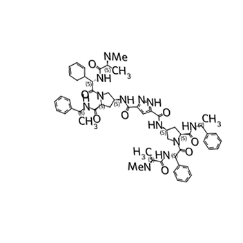 CN[C@@H](C)C(=O)N[C@H](C(=O)N1C[C@@H](NC(=O)c2cc(C(=O)N[C@H]3C[C@@H](C(=O)N[C@H](C)c4ccccc4)N(C(=O)[C@@H](NC(=O)[C@H](C)NC)C4C=CC=CC4)C3)n[nH]2)C[C@H]1C(=O)N[C@H](C)c1ccccc1)c1ccccc1